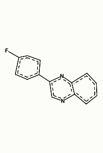 Fc1ccc(-c2cnc3ccccc3n2)cc1